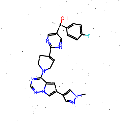 Cn1cc(-c2cc3c(N4CC=C(c5ncc([C@@](C)(O)c6ccc(F)cc6)cn5)CC4)ncnn3c2)cn1